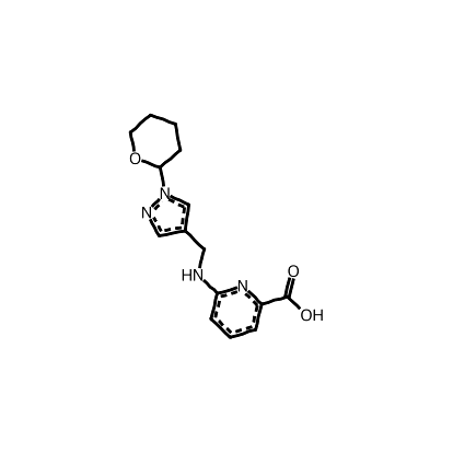 O=C(O)c1cccc(NCc2cnn(C3CCCCO3)c2)n1